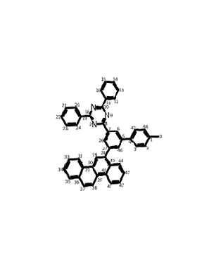 Cc1ccc(-c2cc(-c3nc(-c4ccccc4)nc(-c4ccccc4)n3)cc(-c3cc4c5ccccc5ccc4c4ccccc34)c2)cc1